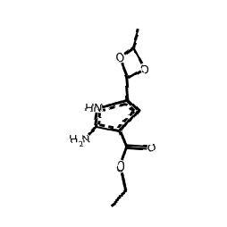 CCOC(=O)c1cc(C2OC(C)O2)[nH]c1N